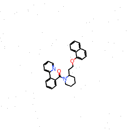 O=C(c1ccccc1-c1ccccn1)N1CCCCC1CCOc1cccc2ccccc12